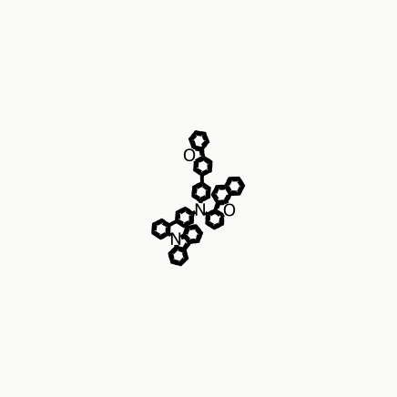 c1ccc(-n2c3ccccc3c3ccccc32)c(-c2ccc(N(c3ccc(-c4ccc5c(c4)oc4ccccc45)cc3)c3cccc4oc5c6ccccc6ccc5c34)cc2)c1